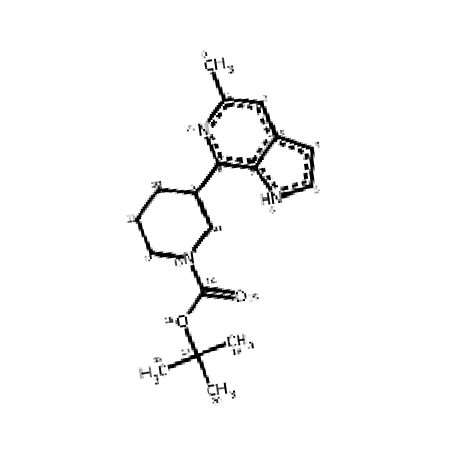 Cc1cc2cc[nH]c2c(C2CCCN(C(=O)OC(C)(C)C)C2)n1